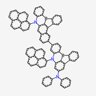 c1ccc(N(c2ccccc2)c2cc3c4c(c2)N(c2ccc5ccc6cccc7ccc2c5c67)c2cc(-c5ccc6cc7c8c(c6c5)-c5ccccc5B8c5ccccc5N7c5ccc6ccc7cccc8ccc5c6c78)ccc2B4c2ccccc2-3)cc1